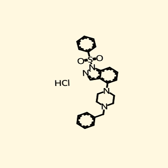 Cl.O=S(=O)(c1ccccc1)n1ncc2c(N3CCN(Cc4ccccc4)CC3)cccc21